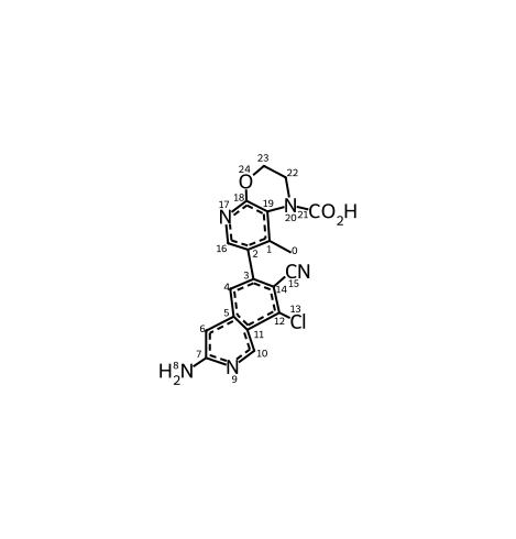 Cc1c(-c2cc3cc(N)ncc3c(Cl)c2C#N)cnc2c1N(C(=O)O)CCO2